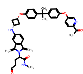 C=c1c2ccc(N[C@H]3C[C@@H](Oc4ccc(C(C)(C)c5ccc(Oc6ccc(C(C)=O)nc6)cc5)cc4)C3)cc2c(=C)n1C(CCC=O)C(=O)NC